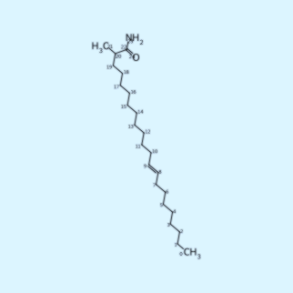 CCCCCCCCC=CCCCCCCCCCCC(C)C(N)=O